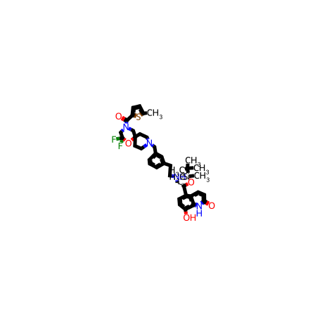 Cc1ccc(C(=O)N2CC(F)(F)OC3(CCN(Cc4cccc(CCNC[C@H](O[Si](C)(C)C(C)(C)C)c5ccc(O)c6[nH]c(=O)ccc56)c4)CC3)C2)s1